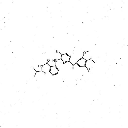 COc1cc(Nc2ncc(Br)c(Nc3ccccc3C(=O)NC(F)C(F)F)n2)cc(OC)c1OC